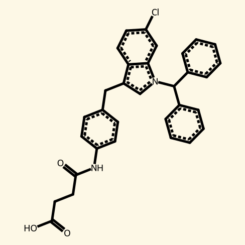 O=C(O)CCC(=O)Nc1ccc(Cc2cn(C(c3ccccc3)c3ccccc3)c3cc(Cl)ccc23)cc1